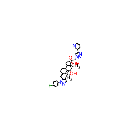 CC12Cc3cnn(-c4ccc(F)cc4)c3C=C1CCC1C2[C@@H](O)CC2(C)C1CC[C@]2(O)C(=O)Cn1cc(-c2cccnc2)nn1